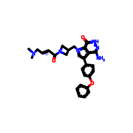 CN(C)C/C=C/C(=O)N1CC(Cn2cc(-c3ccc(Oc4ccccc4)cc3)c3c(N)n[nH]c(=O)c32)C1